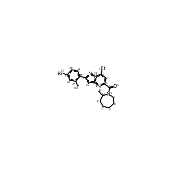 CCc1cc(C(=O)N2CCCCCC2C)nc2cc(-c3ccc(Br)cc3F)nn12